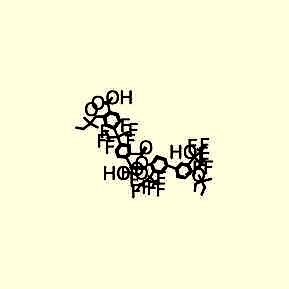 CCC(C)(CC)Oc1ccc(-c2ccc(OC(=O)c3cc(C(c4ccc(C(=O)O)c(C(=O)C(C)(C)CC)c4)(C(F)(F)F)C(F)(F)F)ccc3C(=O)O)c(C(O)(C(F)(F)F)C(F)(F)F)c2)cc1C(O)(C(F)(F)F)C(F)(F)F